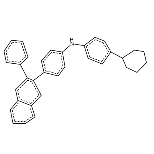 c1ccc(-c2cc3ccccc3cc2-c2ccc(Nc3ccc(C4CCCCC4)cc3)cc2)cc1